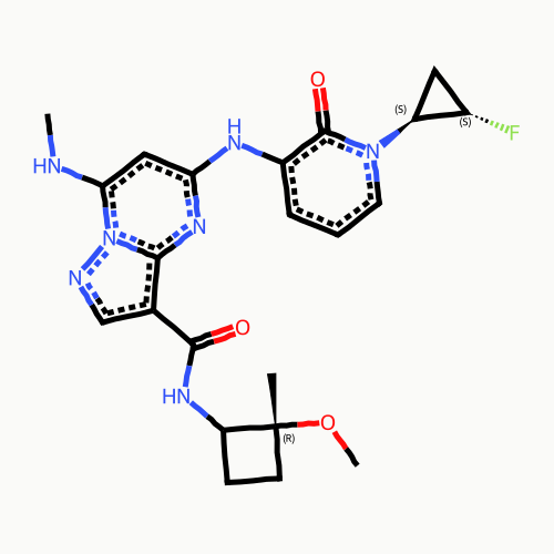 CNc1cc(Nc2cccn([C@H]3C[C@@H]3F)c2=O)nc2c(C(=O)NC3CC[C@@]3(C)OC)cnn12